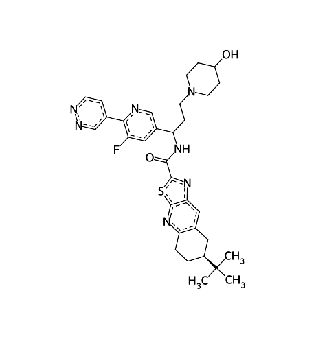 CC(C)(C)[C@H]1CCc2nc3sc(C(=O)NC(CCN4CCC(O)CC4)c4cnc(-c5ccnnc5)c(F)c4)nc3cc2C1